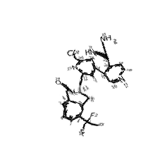 CC(F)(F)c1cccc2c1CN(c1cc(-c3cnccc3C(=N)N)cc(Cl)n1)C2=O